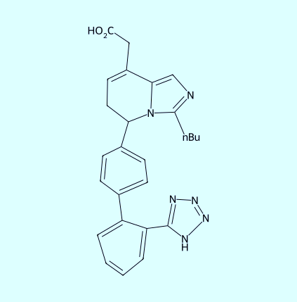 CCCCc1ncc2n1C(c1ccc(-c3ccccc3-c3nnn[nH]3)cc1)CC=C2CC(=O)O